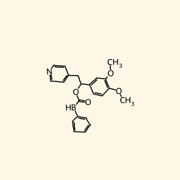 COc1ccc(C(Cc2ccncc2)OC(=O)Bc2ccccc2)cc1OC